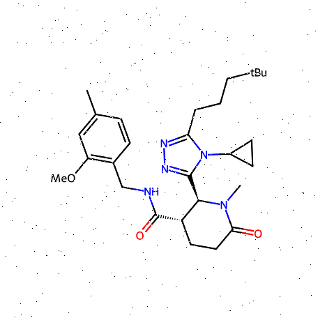 COc1cc(C)ccc1CNC(=O)[C@H]1CCC(=O)N(C)[C@@H]1c1nnc(CCCC(C)(C)C)n1C1CC1